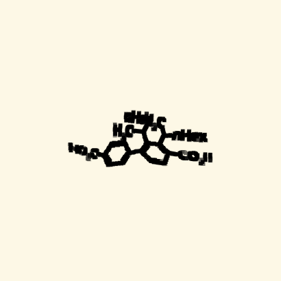 CCCCCCC(C)c1c(C(=O)O)ccc(-c2ccc(C(=O)O)cc2)c1C(C)CCCCCC